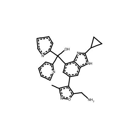 Cc1noc(CN)c1-c1cc(C(O)(c2ccccn2)c2ccccn2)c2nc(C3CC3)[nH]c2c1